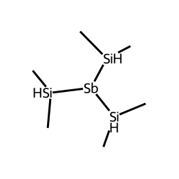 C[SiH](C)[Sb]([SiH](C)C)[SiH](C)C